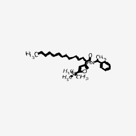 CCCCCCCCCCCCC(C(=O)NC(C)c1ccccc1)c1coc([Si](C)(C)C)c1